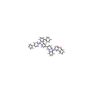 c1ccc(-c2ccc(-n3c4ccc(-c5ccc6c(c5)c5ccccc5n6-c5ccc6oc7ccccc7c6c5)cc4c4c(-c5ccccc5)cccc43)cc2)cc1